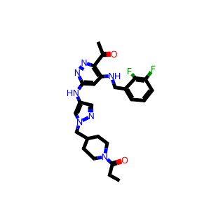 CCC(=O)N1CCC(Cn2cc(Nc3cc(NCc4cccc(F)c4F)c(C(C)=O)nn3)cn2)CC1